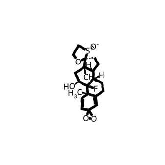 C[C@]12C=CC3(C=C1CC[C@H]1[C@@H]4CC[C@@]5(OCC[S+]5[O-])[C@@]4(C)C[C@H](O)C12F)OO3